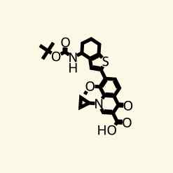 COc1c(-c2cc3c(s2)CCCC3NC(=O)OC(C)(C)C)ccc2c(=O)c(C(=O)O)cn(C3CC3)c12